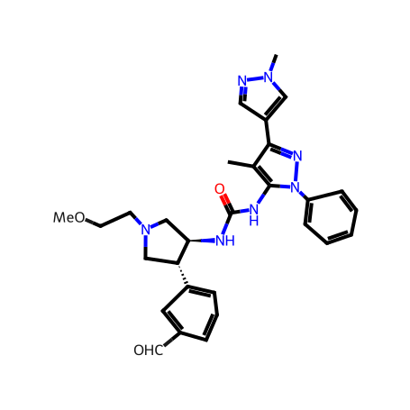 COCCN1C[C@@H](NC(=O)Nc2c(C)c(-c3cnn(C)c3)nn2-c2ccccc2)[C@H](c2cccc(C=O)c2)C1